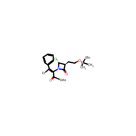 CCC(=C(C(=O)SC)N1C(=O)[C@H](CCO[Si](C)(C)C(C)(C)C)[C@H]1Cl)c1ccccc1